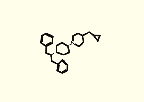 c1ccc(CC(Cc2ccccc2)[C@H]2CC[C@@H](N3CCC(CC4CC4)CC3)CC2)cc1